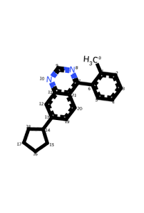 Cc1ccccc1-c1ncnc2cc(C3CCCC3)ccc12